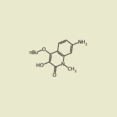 CCCCOc1c(O)c(=O)n(C)c2cc(N)ccc12